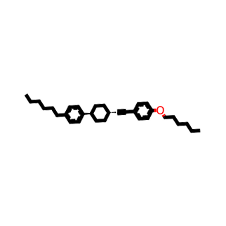 CCCCCCOc1ccc(C#C[C@H]2CC[C@H](c3ccc(CCCCCC)cc3)CC2)cc1